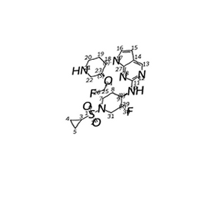 O=S(=O)(C1CC1)N1CC[C@@H](Nc2ncc3ccn([C@H]4CCNC[C@@H]4OCF)c3n2)[C@H](F)C1